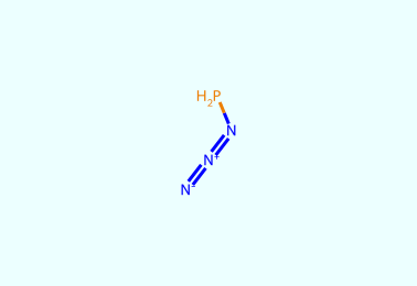 [N-]=[N+]=NP